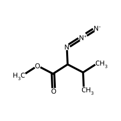 COC(=O)C(N=[N+]=[N-])C(C)C